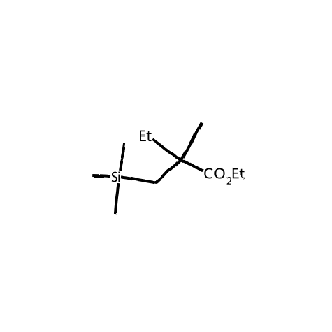 CCOC(=O)C(C)(CC)C[Si](C)(C)C